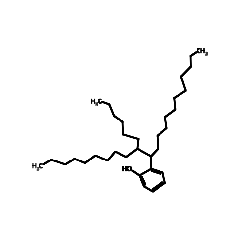 CCCCCCCCCCCC(c1ccccc1O)C(CCCCCC)CCCCCCCCC